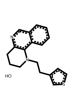 Cl.c1ccc2c3c(ncc2c1)CCCN3CCc1ccsc1